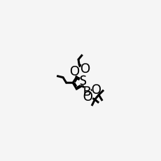 CCCc1cc(B2OC(C)(C)C(C)(C)O2)sc1OC(=O)CC